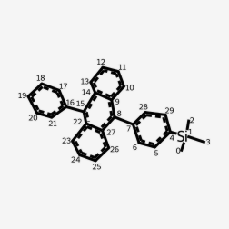 C[Si](C)(C)c1ccc(-c2c3ccccc3c(-c3ccccc3)c3ccccc23)cc1